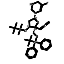 C=C=C[C@]1(CO[Si](c2ccccc2)(c2ccccc2)C(C)(C)C)O[C@@H](N2C=C(F)CNC2)C[C@@H]1O[Si](C)(C)C(C)(C)C